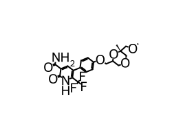 COC[C@]1(C)COCC(COc2ccc(-c3cc(C(N)=O)c(=O)[nH]c3C(F)(F)F)cc2)O1